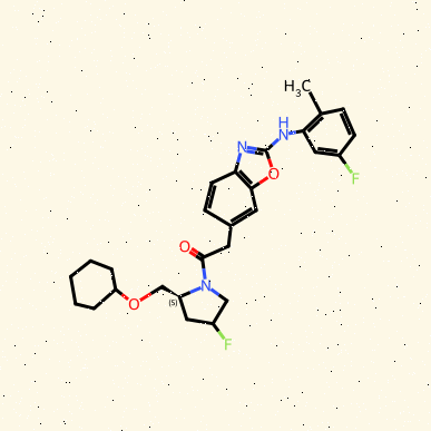 Cc1ccc(F)cc1Nc1nc2ccc(CC(=O)N3CC(F)C[C@H]3COC3CCCCC3)cc2o1